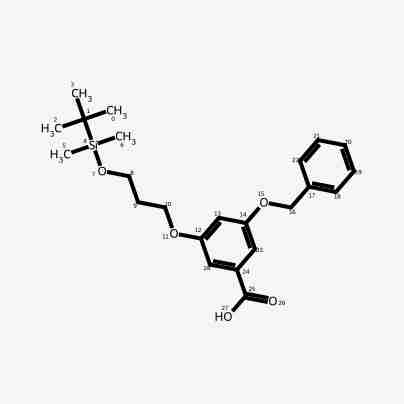 CC(C)(C)[Si](C)(C)OCCCOc1cc(OCc2ccccc2)cc(C(=O)O)c1